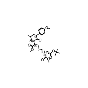 COC(=O)[C@H](CCSC[C@H](NC(=O)[C@@H](CC(C)C)c1ccc(OC)cc1)C(=O)OC)NC(=O)OC(C)(C)C